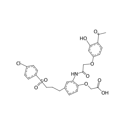 CC(=O)c1ccc(OCC(=O)Nc2cc(CCCS(=O)(=O)c3ccc(Cl)cc3)ccc2OCC(=O)O)cc1O